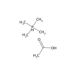 CC(=O)O.C[PH](C)(C)C